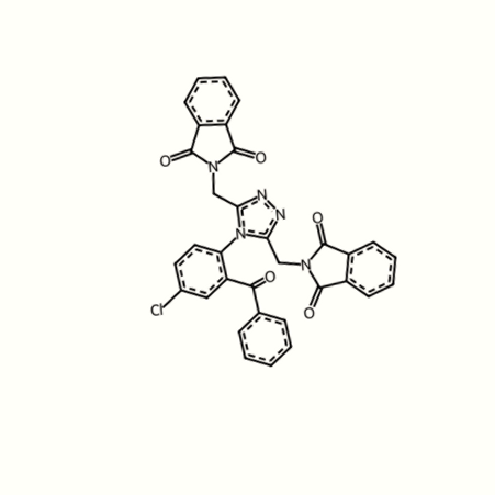 O=C(c1ccccc1)c1cc(Cl)ccc1-n1c(CN2C(=O)c3ccccc3C2=O)nnc1CN1C(=O)c2ccccc2C1=O